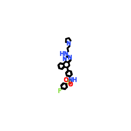 O=S(=O)(Nc1ccc(C2Cc3cnc(NCCCN4CCCC4)nc3-c3ccccc32)cc1)c1ccc(F)cc1